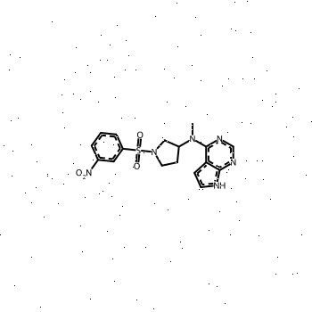 CN(c1ncnc2[nH]ccc12)C1CCN(S(=O)(=O)c2cccc([N+](=O)[O-])c2)C1